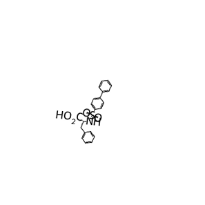 O=C(O)[C@@H](Cc1ccccc1)NS(=O)(=O)c1ccc(-c2ccccc2)cc1